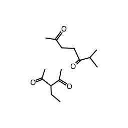 CC(=O)CCC(=O)C(C)C.CCC(C(C)=O)C(C)=O